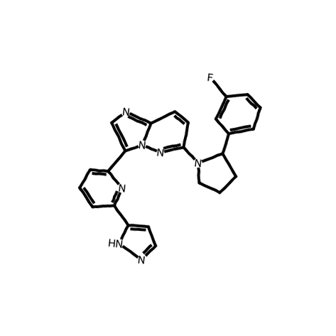 Fc1cccc(C2CCCN2c2ccc3ncc(-c4cccc(-c5ccn[nH]5)n4)n3n2)c1